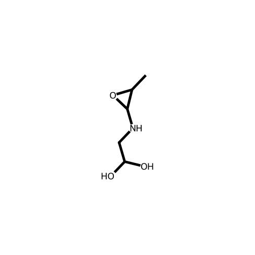 CC1OC1NCC(O)O